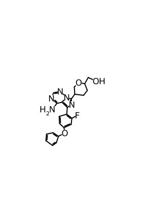 Nc1ncnn2c(C3CCC(CO)OC3)nc(-c3ccc(Oc4ccccc4)cc3F)c12